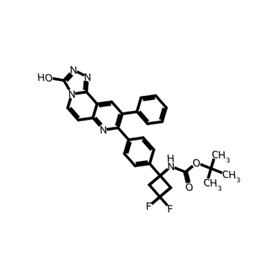 CC(C)(C)OC(=O)NC1(c2ccc(-c3nc4ccn5c(O)nnc5c4cc3-c3ccccc3)cc2)CC(F)(F)C1